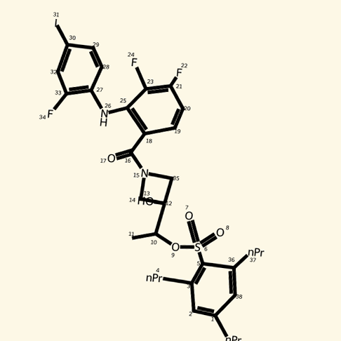 CCCc1cc(CCC)c(S(=O)(=O)OC(C)C2(O)CN(C(=O)c3ccc(F)c(F)c3Nc3ccc(I)cc3F)C2)c(CCC)c1